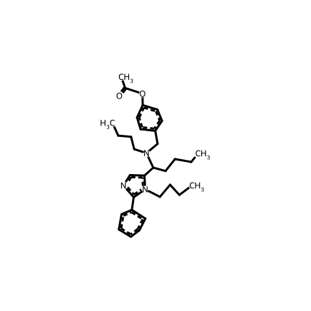 CCCCC(c1cnc(-c2ccccc2)n1CCCC)N(CCCC)Cc1ccc(OC(C)=O)cc1